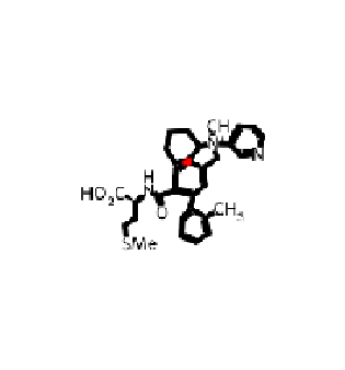 CSCC[C@H](NC(=O)c1ccc(C[N+](C)(c2cccnc2)C2CCCCC2)cc1-c1ccccc1C)C(=O)O